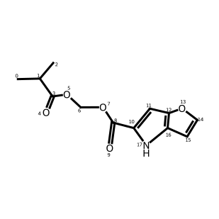 CC(C)C(=O)OCOC(=O)c1cc2occc2[nH]1